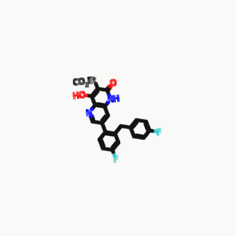 CCOC(=O)c1c(O)c2ncc(-c3ccc(F)cc3Cc3ccc(F)cc3)cc2[nH]c1=O